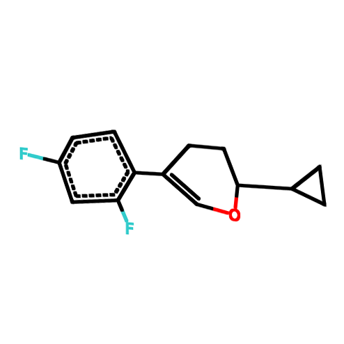 Fc1ccc(C2=COC(C3CC3)CC2)c(F)c1